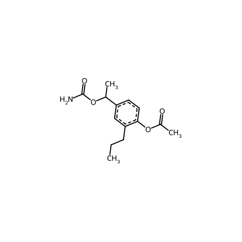 CCCc1cc(C(C)OC(N)=O)ccc1OC(C)=O